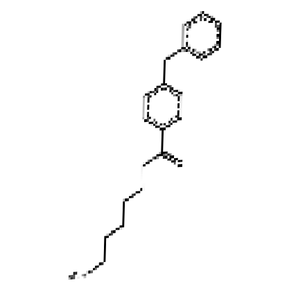 CCCCCCCCCCCCCCCCC(=O)c1ccc(Cc2ccccc2)cc1